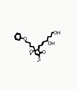 COC1(CCCCOc2ccccc2)C=C(SC)C(=O)C1=CC=CC(O)CCCO